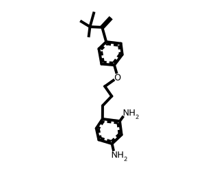 C=C(c1ccc(OCCCc2ccc(N)cc2N)cc1)C(C)(C)C